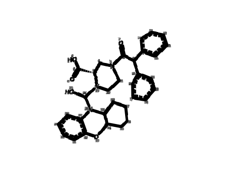 O=C(O)[C@@H]1CN(C(=O)C(c2ccccc2)c2ccccc2)CCN1C(O)N1c2ccccc2OC2CCCCC21